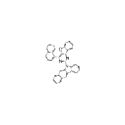 c1ccc2cc3c(cc2c1)c1ccccc1n3-c1nc(-c2cccc3ccccc23)c2oc3ccccc3c2n1